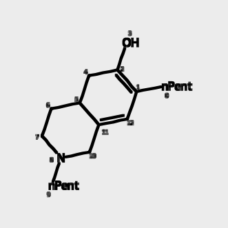 CCCCCC1=C(O)CC2CCN(CCCCC)CC2=C1